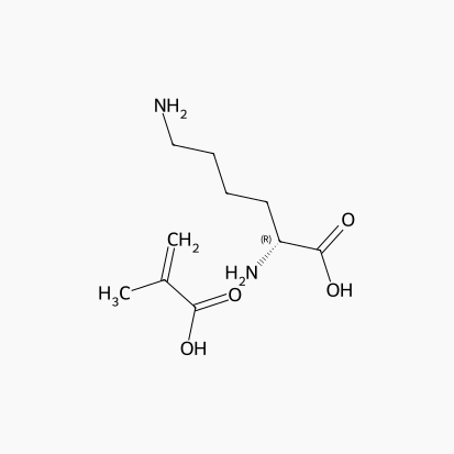 C=C(C)C(=O)O.NCCCC[C@@H](N)C(=O)O